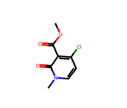 COC(=O)c1c(Cl)ccn(C)c1=O